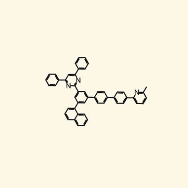 Cc1cccc(-c2ccc(-c3ccc(-c4cc(-c5nc(-c6ccccc6)cc(-c6ccccc6)n5)cc(-c5cccc6ccccc56)c4)cc3)cc2)n1